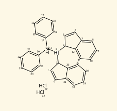 C1=C[CH]([Hf]([CH]2C=Cc3ccccc32)[SiH](c2ccccc2)c2ccccc2)c2ccccc21.Cl.Cl